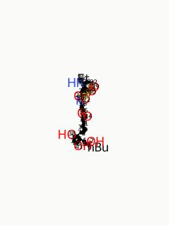 CCCC[C@H](O)/C=C/[C@@H]1[C@@H](C/C=C\CCCC(=O)OCC/C=N/S(=O)(=O)c2cc3c(s2)S(=O)(=O)[C@@H](C)C[C@@H]3NCC)[C@@H](O)C[C@H]1O